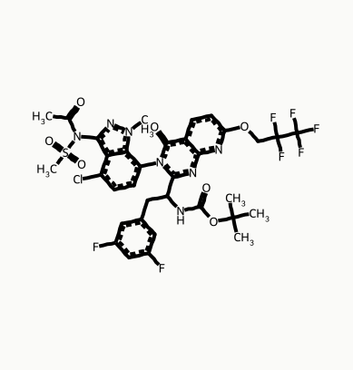 CC(=O)N(c1nn(C)c2c(-n3c(C(Cc4cc(F)cc(F)c4)NC(=O)OC(C)(C)C)nc4nc(OCC(F)(F)C(F)(F)F)ccc4c3=O)ccc(Cl)c12)S(C)(=O)=O